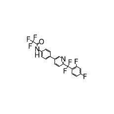 O=C(Nc1ccc(-c2ccc(C(F)(F)c3ccc(F)cc3F)nc2)cc1)C(F)(F)F